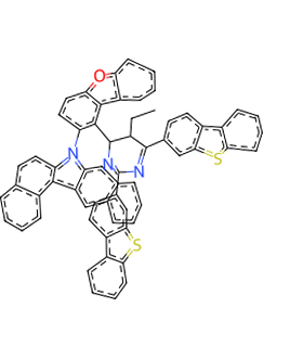 CCC1C(c2ccc3c(c2)sc2ccccc23)=NC(c2ccc3c(c2)sc2ccccc23)=NC1c1c(-n2c3cc4ccccc4cc3c3c4ccccc4ccc32)ccc2oc3ccccc3c12